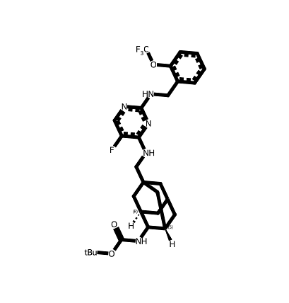 CC(C)(C)OC(=O)NC1[C@@H]2CC3C[C@H]1CC(CNc1nc(NCc4ccccc4OC(F)(F)F)ncc1F)(C3)C2